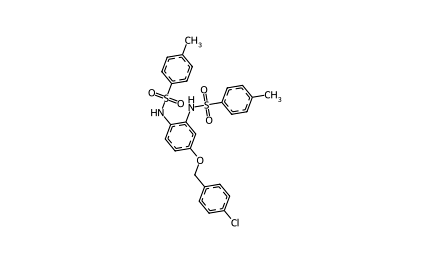 Cc1ccc(S(=O)(=O)Nc2ccc(OCc3ccc(Cl)cc3)cc2NS(=O)(=O)c2ccc(C)cc2)cc1